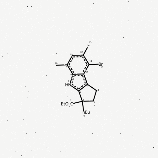 CCCCC1(C(=O)OCC)CCc2c1[nH]c1c(C)cc(F)c(Br)c21